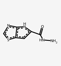 NNC(=O)c1cc2scnc2[nH]1